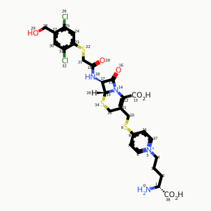 N[C@H](CCC[n+]1ccc(SCC2=C(C(=O)O)N3C(=O)[C@H](NC(=O)CSc4cc(Cl)c(CO)cc4Cl)[C@H]3SC2)cc1)C(=O)O